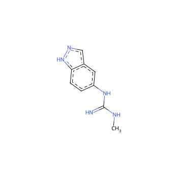 CNC(=N)Nc1ccc2[nH]ncc2c1